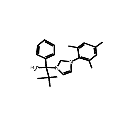 Cc1cc(C)c(N2C=CN(C(P)(c3ccccc3)C(C)(C)C)C2)c(C)c1